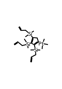 C=CC[Si](C)(C)C1=C([Si](C)(C)CC=C)C([Si](C)(C)CC=C)=[C]([Pt]([CH3])([CH3])[CH3])C1